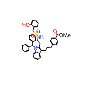 COC(=O)c1ccc(CCCc2c(CCNS(=O)(=O)Cc3ccccc3O)n(C(c3ccccc3)c3ccccc3)c3ccccc23)cc1